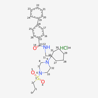 CCCS(=O)(=O)N1CCN(C2(CNC(=O)c3ccc(-c4ccccc4)cc3)CCCCC2)CC1.Cl